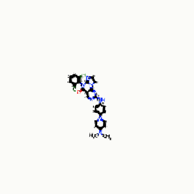 CN(C)C1CCN(c2ccc(Nc3ncc4c(=O)n(-c5c(Cl)cccc5Cl)c5nccn5c4n3)cc2)CC1